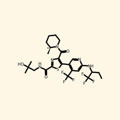 CCC(Nc1cc(C(F)(F)F)c(-c2sc(C(=O)NCC(C)(C)O)nc2C(=O)N2CCCC[C@@H]2C)cn1)C(F)(F)F